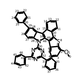 COc1cccc2c1sc1c3ccccc3c3c4cc(-c5ccccc5)ccc4n(-c4nc(-c5ccccc5)nc(-c5ccccc5)n4)c3c21